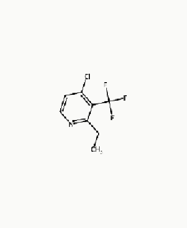 CCc1nccc(Cl)c1C(F)(F)F